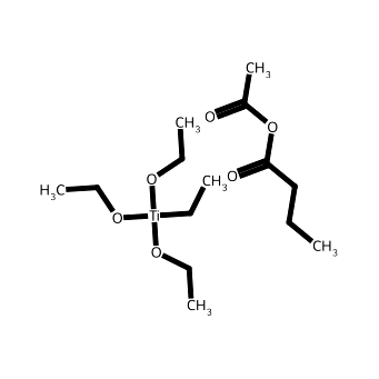 CCCC(=O)OC(C)=O.CC[O][Ti]([CH2]C)([O]CC)[O]CC